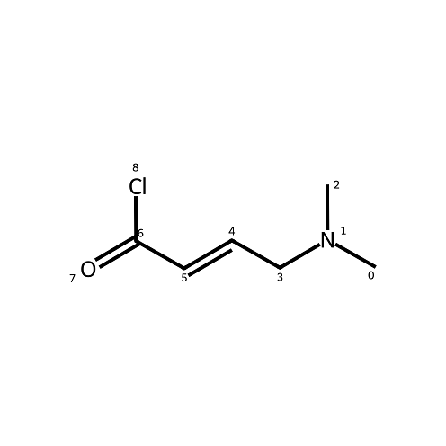 CN(C)CC=CC(=O)Cl